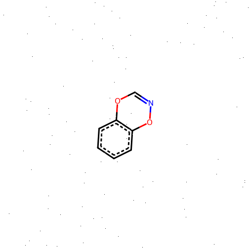 C1=NOc2ccccc2O1